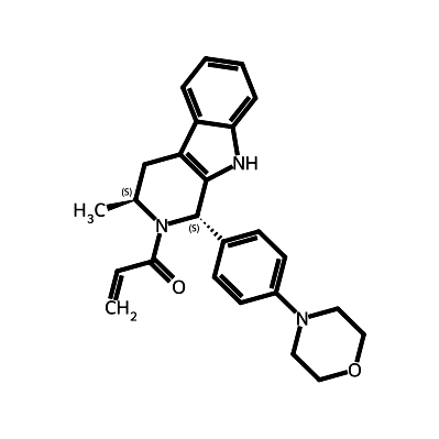 C=CC(=O)N1[C@@H](c2ccc(N3CCOCC3)cc2)c2[nH]c3ccccc3c2C[C@@H]1C